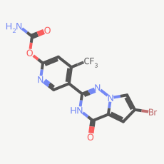 NC(=O)Oc1cc(C(F)(F)F)c(-c2nn3cc(Br)cc3c(=O)[nH]2)cn1